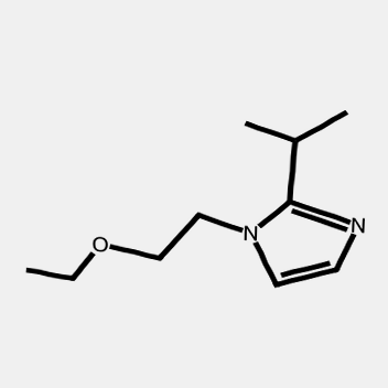 CCOCCn1ccnc1C(C)C